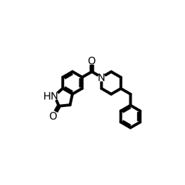 O=C1Cc2cc(C(=O)N3CCC(Cc4ccccc4)CC3)ccc2N1